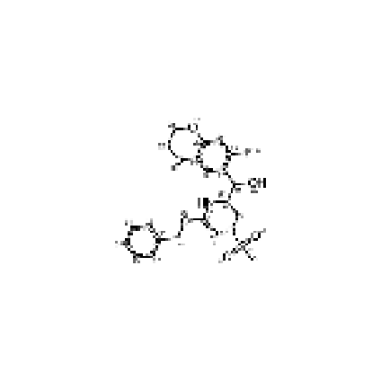 CS(=O)(=O)OC[C@@H](NC(=O)OCc1ccccc1)C(O)c1cc2c(cc1F)OCCO2